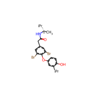 CC(C)c1cc(Oc2c(Br)cc(CC(=O)N[C@@H](C)C(C)C)cc2Br)ccc1O